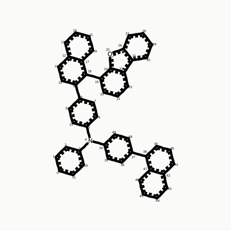 c1ccc(N(c2ccc(-c3ccc4ccccc4c3-c3cccc4c3oc3ccccc34)cc2)c2ccc(-c3cccc4ccccc34)cc2)cc1